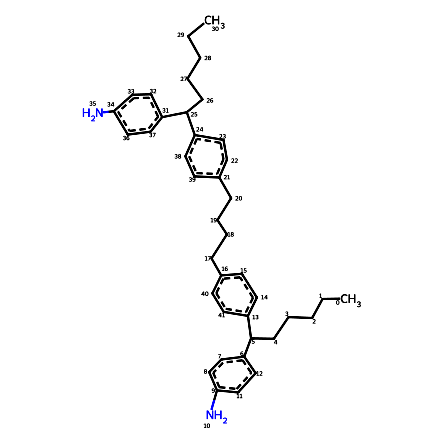 CCCCCC(c1ccc(N)cc1)c1ccc(CCCCc2ccc(C(CCCCC)c3ccc(N)cc3)cc2)cc1